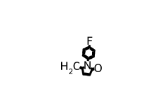 C=C1C=CC(=O)N1c1ccc(F)cc1